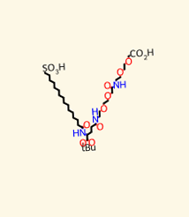 CC(C)(C)OC(=O)C(CCC(=O)NCCOCCOCC(=O)NCCOCCOCC(=O)O)NC(=O)CCCCCCCCCCCCCCCS(=O)(=O)O